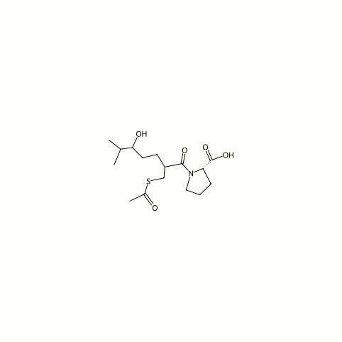 CC(=O)SCC(CCC(O)C(C)C)C(=O)N1CCC[C@H]1C(=O)O